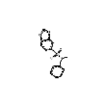 CN(c1ccccc1)S(=O)(=O)c1ccc2ncsc2c1